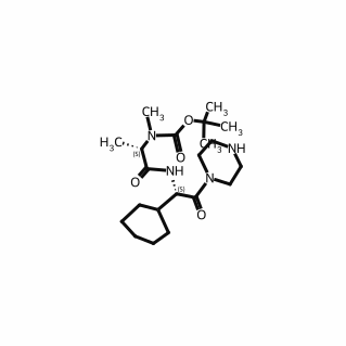 C[C@@H](C(=O)N[C@H](C(=O)N1CCNCC1)C1CCCCC1)N(C)C(=O)OC(C)(C)C